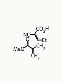 C=C(C)C(=O)OC.CC/C=C(/C#N)C(=O)O